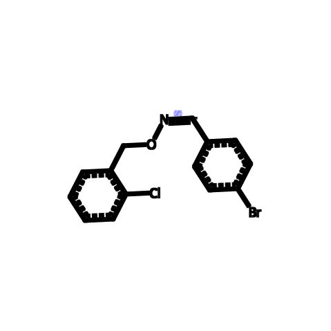 Clc1ccccc1CO/N=[C]\c1ccc(Br)cc1